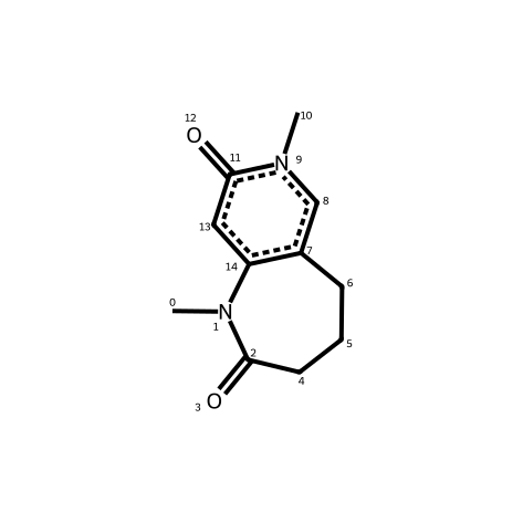 CN1C(=O)CCCc2cn(C)c(=O)cc21